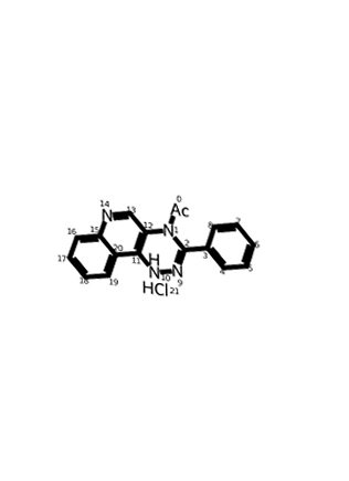 CC(=O)N1C(c2ccccc2)=NNc2c1cnc1ccccc21.Cl